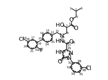 CC(C)COC(=O)C(O)CN(Cc1ccc(-c2cc(Cl)ccc2F)cc1)NC(=O)c1nn(-c2cccc(Cl)c2)c(=O)[nH]1